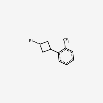 CCN1CC(c2ccccc2C(F)(F)F)C1